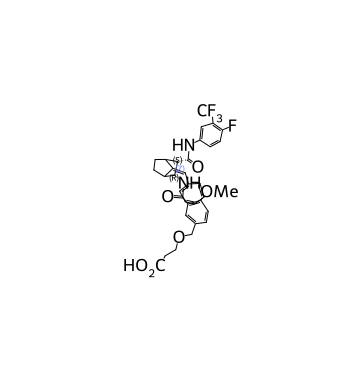 COc1ccc(COCCC(=O)O)cc1C(=O)N[C@@H]1C2CCC(/C2=C/c2ccccc2)[C@@H]1C(=O)Nc1ccc(F)c(C(F)(F)F)c1